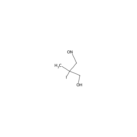 CC(I)(CO)CN=O